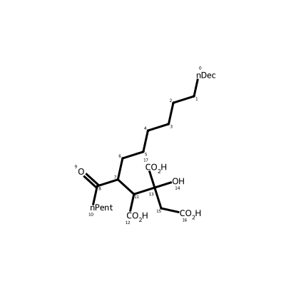 CCCCCCCCCCCCCCCCC(C(=O)CCCCC)C(C(=O)O)C(O)(CC(=O)O)C(=O)O